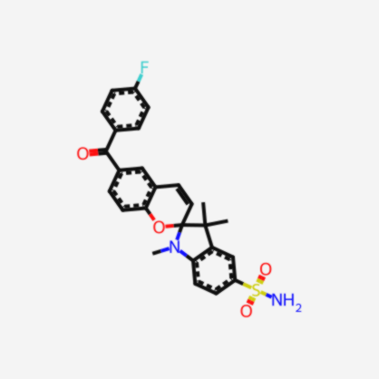 CN1c2ccc(S(N)(=O)=O)cc2C(C)(C)C12C=Cc1cc(C(=O)c3ccc(F)cc3)ccc1O2